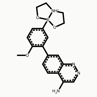 COc1ccc([B-]23OCC[NH+]2CCO3)cc1-c1ccc2c(N)cnnc2c1